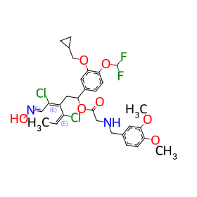 C\C=C(Cl)/C(CC(OC(=O)CNCc1ccc(OC)c(OC)c1)c1ccc(OC(F)F)c(OCC2CC2)c1)=C(Cl)\C=N\O